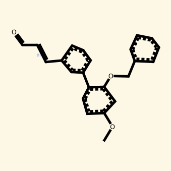 COc1ccc(-c2cccc(/C=C/C=O)c2)c(OCc2ccccc2)c1